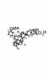 COc1cccc(-c2ccc([C@@H](Oc3cc(N4CCC5(CC4)CN[C@H](C(=O)O)C5)nc(C)n3)C(F)(F)F)c(-n3ccc(C)n3)c2)c1